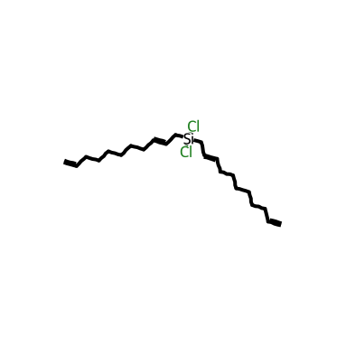 C=CCCCCCCC=CC[Si](Cl)(Cl)CC=CCCCCCCC=C